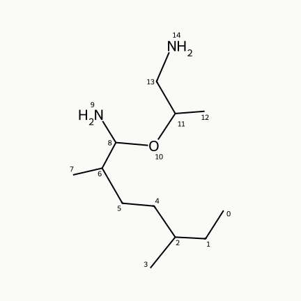 CCC(C)CCC(C)C(N)OC(C)CN